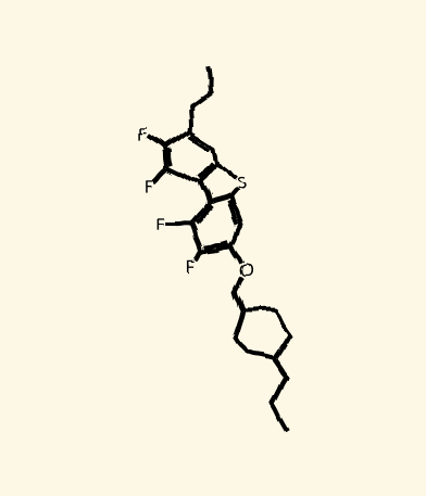 CCCc1cc2sc3cc(OCC4CCC(CCC)CC4)c(F)c(F)c3c2c(F)c1F